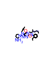 CC#CCn1c(N2CCCC(N)C2)nc2c1c(=O)n(CC(=N/c1ccccc1CC)/C(C)=C/C=C\C)c(=O)n2C